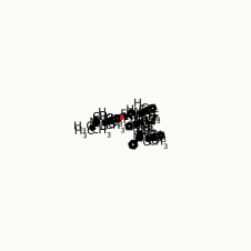 CC(C)(C(=O)Nc1ccc(C(F)(F)F)cn1)S(=O)(=O)C1CCCC1.CC(C)(C(=O)Nc1nc(C(F)(F)F)cs1)S(=O)(=O)C1CCCC1.Cn1nc(-c2ccccc2)cc1NC(=O)C(C)(C)S(=O)(=O)C1CCCC1.Cn1nc(C(C)(C)C)cc1NC(=O)C(C)(C)S(=O)(=O)C1CCCC1